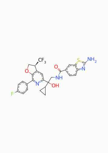 Nc1nc2ccc(C(=O)NCC(O)(c3cc4c(c(-c5ccc(F)cc5)n3)OC[C@H]4C(F)(F)F)C3CC3)cc2s1